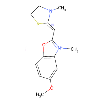 COc1ccc2oc(/C=C3\SCCN3C)[n+](C)c2c1.[I-]